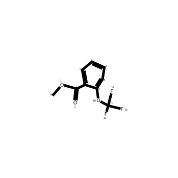 COC(=O)c1ccccc1OC(F)(F)F